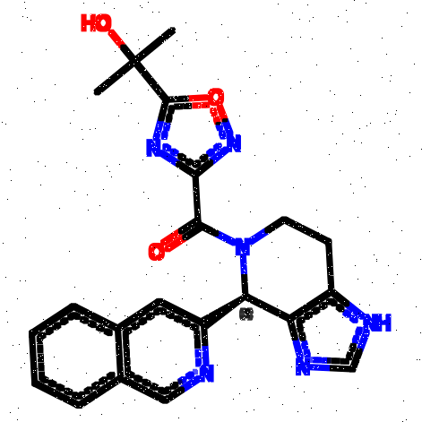 CC(C)(O)c1nc(C(=O)N2CCc3[nH]cnc3[C@H]2c2cc3ccccc3cn2)no1